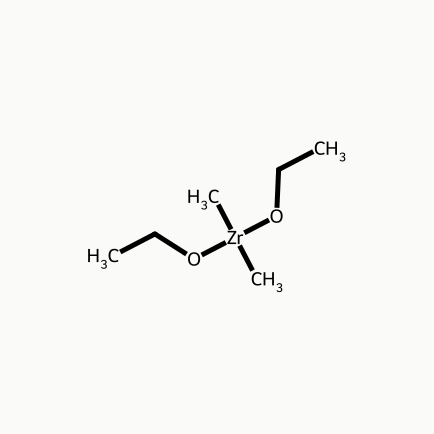 CC[O][Zr]([CH3])([CH3])[O]CC